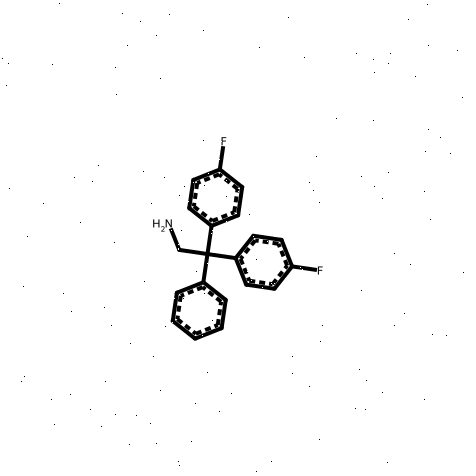 NCC(c1ccccc1)(c1ccc(F)cc1)c1ccc(F)cc1